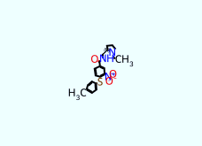 CCN1CCC[C@@H]1CNC(=O)c1ccc(Sc2ccc(C)cc2)c([N+](=O)[O-])c1